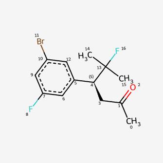 CC(=O)C[C@@H](c1cc(F)cc(Br)c1)C(C)(C)F